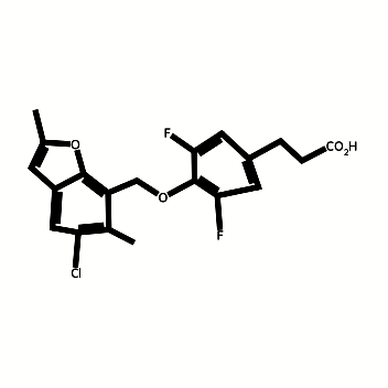 Cc1cc2cc(Cl)c(C)c(COc3c(F)cc(CCC(=O)O)cc3F)c2o1